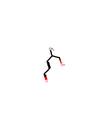 CC(C=CC=O)CO